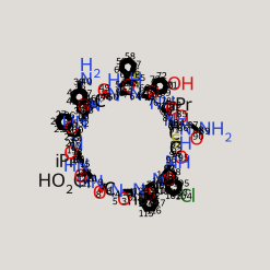 CCCC[C@H]1C(=O)N(C)CC(=O)N[C@@H](CC(=O)O)C(=O)N[C@@H](C(C)C)C(=O)N(C)[C@@H](Cc2ccccc2)C(=O)N[C@@H](Cc2ccc(CN)cc2)C(=O)N(C)CC(=O)N[C@@H](Cc2csc3ccccc23)C(=O)N[C@@H](Cc2ccc(O)cc2)C(=O)N[C@@H](CC(C)C)C(=O)N[C@H](C(=O)NCC(N)=O)CSCC(=O)N[C@@H](Cc2cccc(Cl)c2)C(=O)N(C)[C@@H](Cc2ccccc2)C(=O)N1C